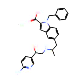 CC(Cc1ccc2c(c1)cc(C(=O)O)n2Cc1ccccc1)NCC(O)c1ccc(N)nc1.Cl